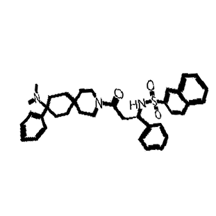 CN(C)C1(c2ccccc2)CCC2(CCN(C(=O)C[C@@H](NS(=O)(=O)c3ccc4ccccc4c3)c3ccccc3)CC2)CC1